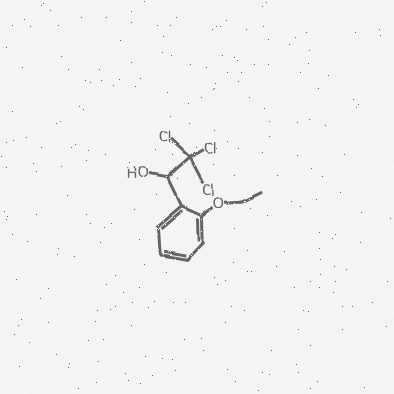 CCOc1ccccc1C(O)C(Cl)(Cl)Cl